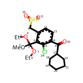 CCOC(OC)(OCC)c1c(C[SH](=O)=O)ccc(C(=O)C2CCCCC2)c1Cl